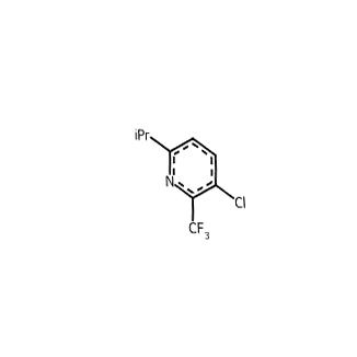 CC(C)c1ccc(Cl)c(C(F)(F)F)n1